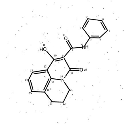 O=C(Nc1ccccc1)c1c(O)c2cccc3c2n(c1=O)CCC3